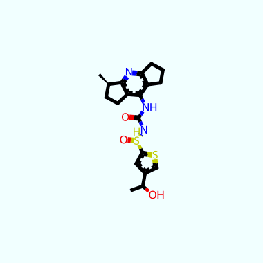 CC(O)c1csc(/[SH](=O)=N/C(=O)Nc2c3c(nc4c2CC[C@H]4C)CCC3)c1